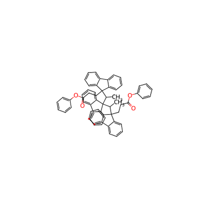 CC(C1(CCC(=O)Oc2ccccc2)c2ccccc2-c2ccccc21)C1(C(C)C2(CCC(=O)Oc3ccccc3)c3ccccc3-c3ccccc32)c2ccccc2-c2ccccc21